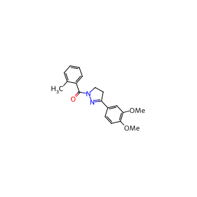 COc1ccc(C2=NN(C(=O)c3ccccc3C)CC2)cc1OC